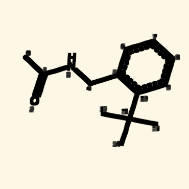 CC(=O)NCc1ccccc1C(C)(C)C